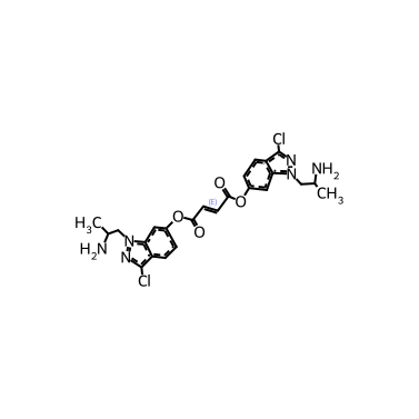 CC(N)Cn1nc(Cl)c2ccc(OC(=O)/C=C/C(=O)Oc3ccc4c(Cl)nn(CC(C)N)c4c3)cc21